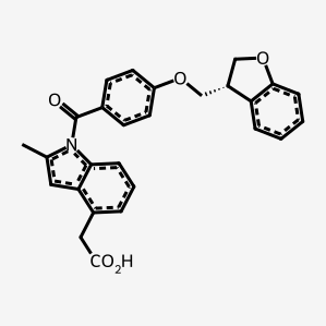 Cc1cc2c(CC(=O)O)cccc2n1C(=O)c1ccc(OC[C@@H]2COc3ccccc32)cc1